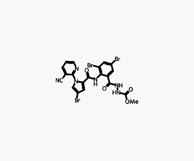 COC(=O)NNC(=O)c1cc(Br)cc(Br)c1NC(=O)c1cc(Br)cn1-c1ncccc1C#N